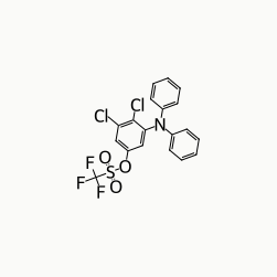 O=S(=O)(Oc1cc(Cl)c(Cl)c(N(c2ccccc2)c2ccccc2)c1)C(F)(F)F